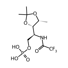 C[C@H]1OC(C)(C)O[C@H]1[C@H](COP(=O)(O)O)NC(=O)C(F)(F)F